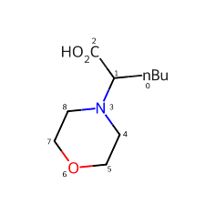 CCCCC(C(=O)O)N1CCOCC1